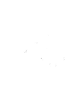 NC1NN2CC(F)CNC2C1C(=O)Nc1cnccc1N1CCN([C@H]2CCOC2)CC1